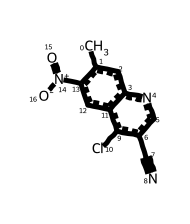 Cc1cc2ncc(C#N)c(Cl)c2cc1[N+](=O)[O-]